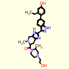 CCc1cc(O)ccc1-c1ccc2c(-c3nc4c([nH]3)CN(C)C(C(=O)N3CCN(CCO)CC3C)C4)n[nH]c2c1